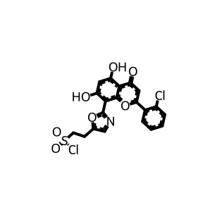 O=c1cc(-c2ccccc2Cl)oc2c(-c3ncc(CCS(=O)(=O)Cl)o3)c(O)cc(O)c12